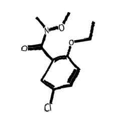 CCOc1ccc(Cl)cc1C(=O)N(C)OC